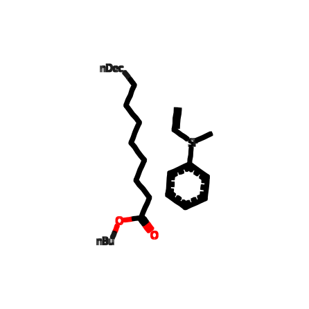 C=C[Si](C)c1ccccc1.CCCCCCCCCCCCCCCCCC(=O)OCCCC